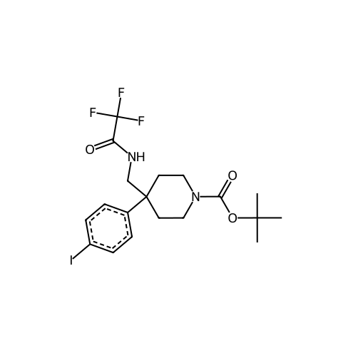 CC(C)(C)OC(=O)N1CCC(CNC(=O)C(F)(F)F)(c2ccc(I)cc2)CC1